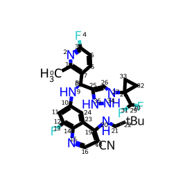 Cc1nc(F)ccc1[C@H](Nc1cc(F)c2ncc(C#N)c(NCC(C)(C)C)c2c1)C1=CN(C2(C(F)F)CC2)NN1